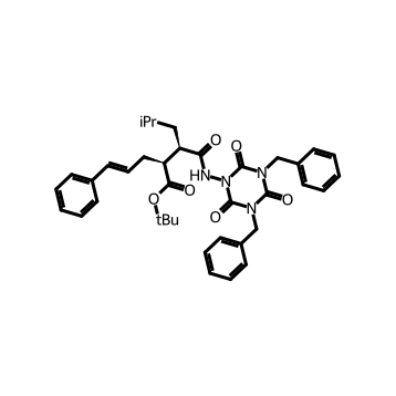 CC(C)C[C@@H](C(=O)Nn1c(=O)n(Cc2ccccc2)c(=O)n(Cc2ccccc2)c1=O)[C@H](CC=Cc1ccccc1)C(=O)OC(C)(C)C